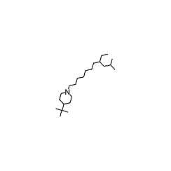 CCC(CCCCCCCN1CCC(C(C)(C)C)CC1)CC(C)C